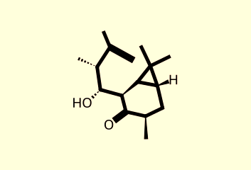 C=C(C)[C@@H](C)[C@@H](O)[C@@H]1C(=O)[C@H](C)C[C@@H]2C1C2(C)C